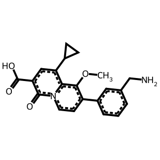 COc1c(-c2cccc(CN)c2)ccn2c(=O)c(C(=O)O)cc(C3CC3)c12